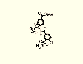 COC(=O)c1ccc2c(c1)nc(S(C)(=O)=O)n2NC(=O)c1ccc(Cl)c(S(N)(=O)=O)c1